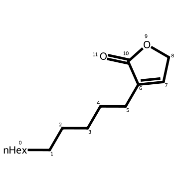 CCCCCCCCCCCC1=CCOC1=O